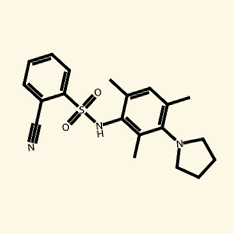 Cc1cc(C)c(N2CCCC2)c(C)c1NS(=O)(=O)c1ccccc1C#N